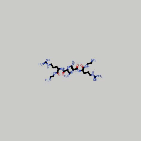 N=C(N)NCCCC(NC(=O)c1nc(N)c(C(=O)NC(CCCNC(=N)N)C(=O)NCCN)nc1N)C(=O)NCCN